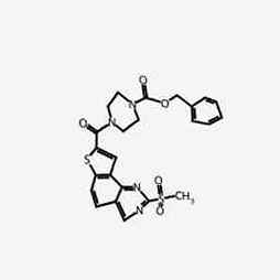 CS(=O)(=O)c1ncc2ccc3sc(C(=O)N4CCN(C(=O)OCc5ccccc5)CC4)cc3c2n1